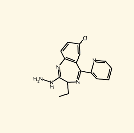 CCC1N=C(c2ccccn2)c2cc(Cl)ccc2N=C1NN